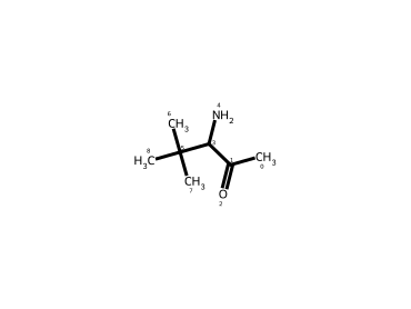 CC(=O)C(N)C(C)(C)C